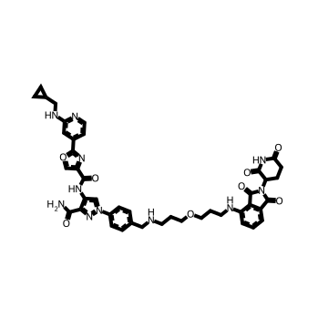 NC(=O)c1nn(-c2ccc(CNCCCOCCCNc3cccc4c3C(=O)N(C3CCC(=O)NC3=O)C4=O)cc2)cc1NC(=O)c1coc(-c2ccnc(NCC3CC3)c2)n1